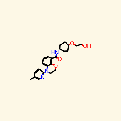 Cc1ccc(N2CCOc3c(C(=O)N[C@H]4CC[C@H](OCCO)CC4)cccc32)nc1